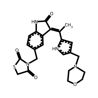 CC(=C1C(=O)Nc2ccc(CN3C(=O)CSC3=O)cc21)c1cc(CN2CCOCC2)c[nH]1